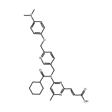 Cc1cc(N(Cc2ccc(COc3ccc(N(C)C)cc3)nc2)C(=O)C2CCCCC2)nc(C=CC(=O)O)n1